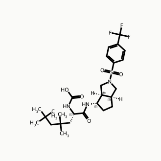 CC(C)(C)CC(C)(C)C[C@H](NC(=O)O)C(=O)N[C@H]1CC[C@@H]2CN(S(=O)(=O)c3ccc(C(F)(F)F)cc3)C[C@@H]21